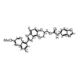 COc1cnc2c(-c3nc4c(C)cc5c(c4s3)OCC(COC(=O)Nc3ccc4ocnc4c3)O5)cc(C)cc2n1